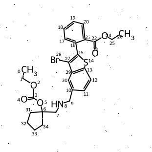 CCOC(=O)OC1(CNCc2ccc3sc(-c4ccccc4C(=O)OCC)c(Br)c3c2)CCCC1